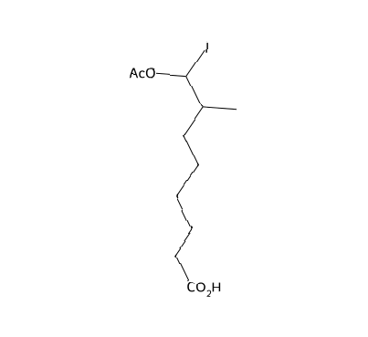 CC(=O)OC(I)C(C)CCCCCC(=O)O